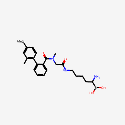 COc1ccc(-c2ccccc2C(=O)N(C)CC(=O)NCCCCC(N)B(O)O)c(C)c1